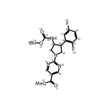 COC(=O)c1cnc(N2CC(NC(=O)OC(C)(C)C)C(c3cc(F)ccc3F)C2)nc1